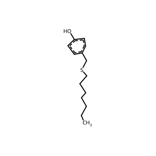 CCCCCCCSCc1ccc(O)cc1